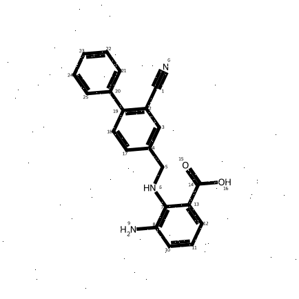 N#Cc1cc(CNc2c(N)cccc2C(=O)O)ccc1-c1ccccc1